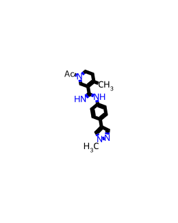 CC(=O)N1CCC(C)=C(C(=N)Nc2ccc(-c3cnn(C)c3)cc2)C1